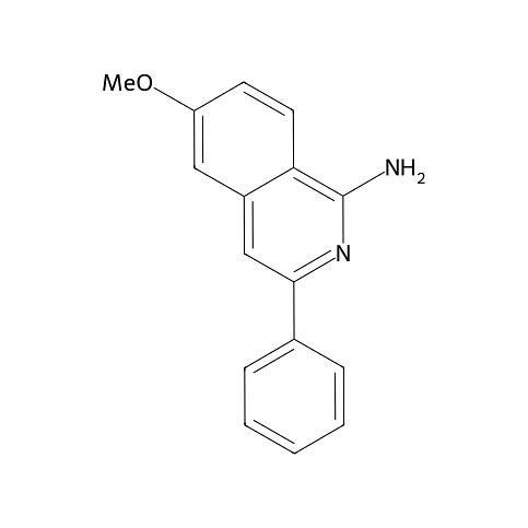 COc1ccc2c(N)nc(-c3ccccc3)cc2c1